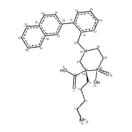 NCCCC[C@@]1(C(=O)O)CN(Cc2ccccc2-c2ccc3ccccc3c2)CCP1(=O)O